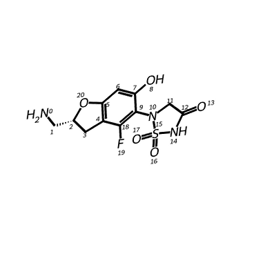 NC[C@H]1Cc2c(cc(O)c(N3CC(=O)NS3(=O)=O)c2F)O1